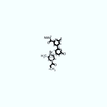 C=CC(=O)N1C[C@H](C)N(C(C)=O)[C@H](c2cc(Cl)nc(-c3cc(F)nc(C(=O)NC)c3)c2)C1